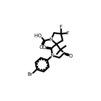 CC(C)(C)C1(C(=O)N(CC=O)c2ccc(Br)cc2)CC(F)(F)CN1C(=O)O